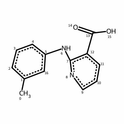 Cc1cccc(Nc2ncccc2C(=O)O)c1